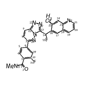 CNC(=O)c1ccc(-c2ccc3nnc(C(F)c4cc5cccnc5cc4C)n3n2)cc1F